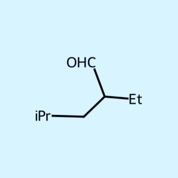 CCC(C=O)CC(C)C